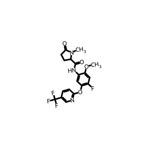 COc1cc(F)c(Oc2ccc(C(F)(F)F)cn2)cc1NC(=O)C1CCC(=O)N1C